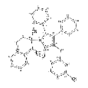 CC1=c2ccccc2=CCC1(C#N)n1c(-c2ccccc2)c(-c2ccccc2)n(Cc2cccc(C#N)c2)c1=O